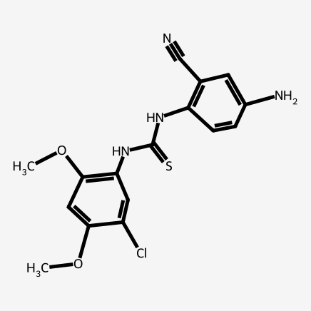 COc1cc(OC)c(NC(=S)Nc2ccc(N)cc2C#N)cc1Cl